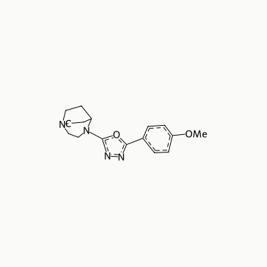 COc1ccc(-c2nnc(N3CCN4CCC3CC4)o2)cc1